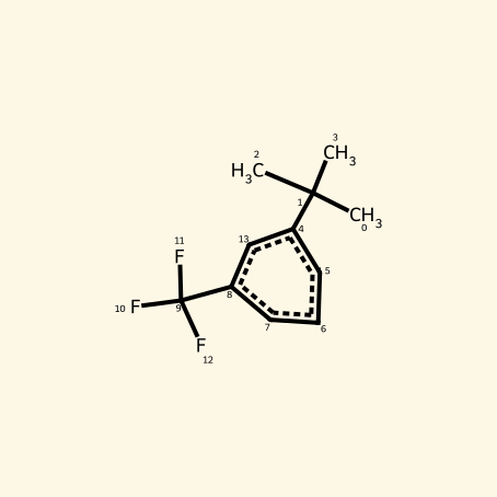 CC(C)(C)c1[c]ccc(C(F)(F)F)c1